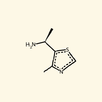 Cc1ncsc1[C@H](C)N